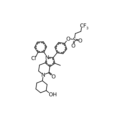 Cc1c2c(n(-c3ccccc3Cl)c1-c1ccc(OS(=O)(=O)CCC(F)(F)F)cc1)CCN(C1CCCC(O)C1)C2=O